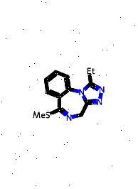 CCc1nnc2n1-c1ccccc1C(SC)=NC2